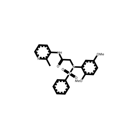 COc1ccc(OC)c(N(CC(=O)Nc2cccnc2C)S(=O)(=O)c2ccccc2)c1